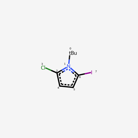 CC(C)(C)n1c(Cl)ccc1I